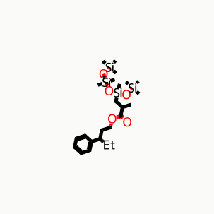 CCC(CCOC(=O)C(C)C[Si](C)(O[Si](C)(C)C)O[Si](C)(C)O[Si](C)(C)C)c1ccccc1